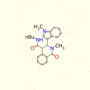 CCCCNC(=O)C1c2ccccc2C(=O)N(C)C1c1cn(C)c2ccccc12